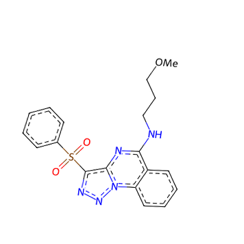 COCCCNc1nc2c(S(=O)(=O)c3ccccc3)nnn2c2ccccc12